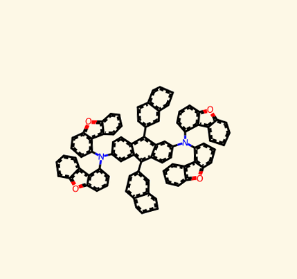 c1ccc2cc(-c3c4ccc(N(c5cccc6oc7ccccc7c56)c5cccc6oc7ccccc7c56)cc4c(-c4ccc5ccccc5c4)c4ccc(N(c5cccc6oc7ccccc7c56)c5cccc6oc7ccccc7c56)cc34)ccc2c1